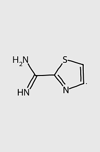 N=C(N)c1n[c]cs1